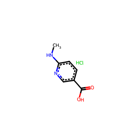 CNc1ccc(C(=O)O)cn1.Cl